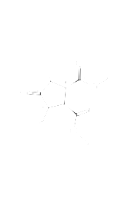 COC(=O)[C@@H]1CC(=O)C(C)[C@@H]1C(=O)OC